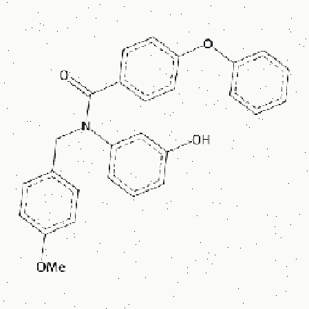 COc1ccc(CN(C(=O)c2ccc(Oc3ccccc3)cc2)c2cccc(O)c2)cc1